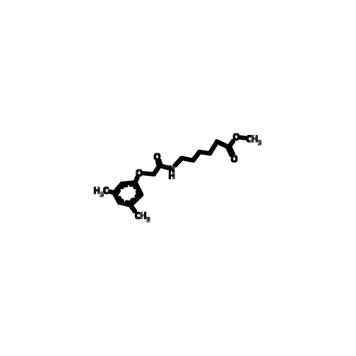 COC(=O)CCCCCNC(=O)COc1cc(C)cc(C)c1